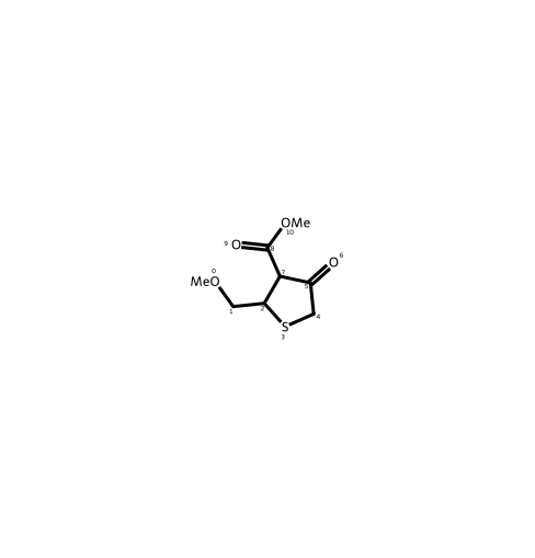 COCC1SCC(=O)C1C(=O)OC